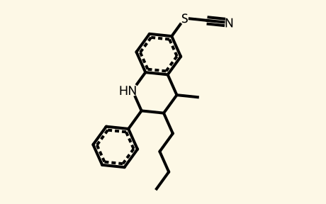 CCCCC1C(C)c2cc(SC#N)ccc2NC1c1ccccc1